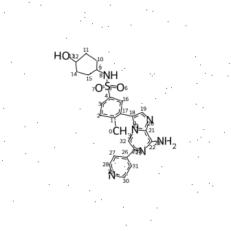 Cc1ccc(S(=O)(=O)NC2CCC(O)CC2)cc1-c1cnc2c(N)nc(-c3ccncc3)cn12